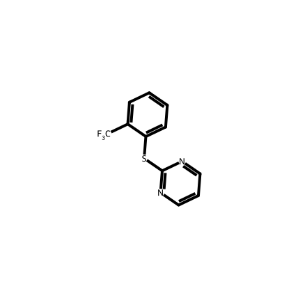 FC(F)(F)c1ccccc1Sc1ncccn1